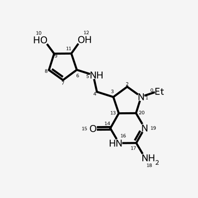 CCN1CC(CNC2C=CC(O)C2O)C2C(=O)NC(N)=NC21